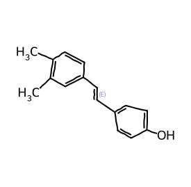 Cc1ccc(/C=C/c2ccc(O)cc2)cc1C